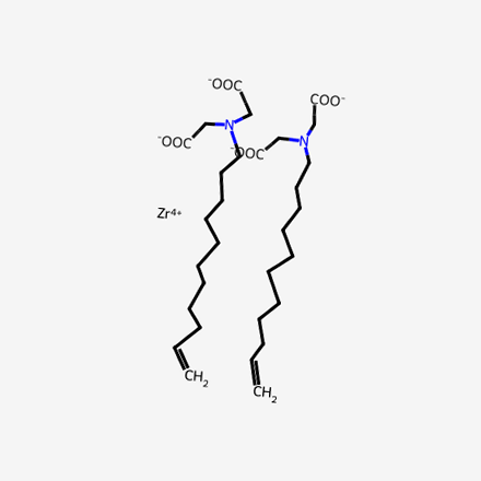 C=CCCCCCCCCCN(CC(=O)[O-])CC(=O)[O-].C=CCCCCCCCCCN(CC(=O)[O-])CC(=O)[O-].[Zr+4]